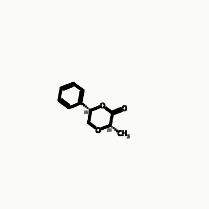 C[C@@H]1OC[C@H](c2ccccc2)OC1=O